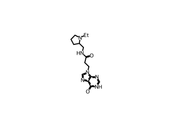 CCN1CCCC1CNC(=O)CCn1cnc2c(=O)[nH]cnc21